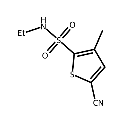 CCNS(=O)(=O)c1sc(C#N)cc1C